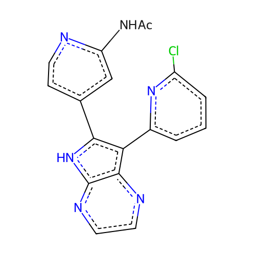 CC(=O)Nc1cc(-c2[nH]c3nccnc3c2-c2cccc(Cl)n2)ccn1